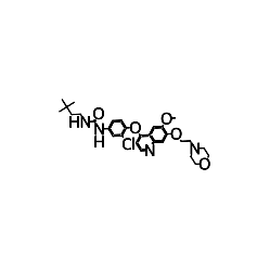 COc1cc2c(Oc3ccc(NC(=O)NCCC(C)(C)C)cc3Cl)ccnc2cc1OCCN1CCOCC1